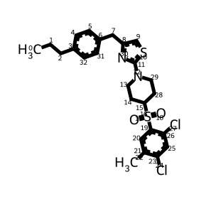 CCCc1ccc(Cc2csc(N3CCC(S(=O)(=O)c4cc(C)c(Cl)cc4Cl)CC3)n2)cc1